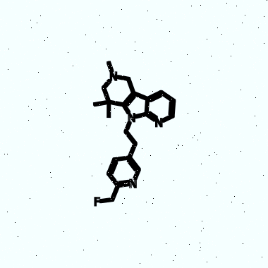 CN1Cc2c(n(CCc3ccc(CF)nc3)c3ncccc23)C(C)(C)C1